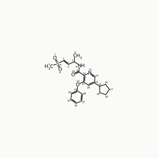 CC(C=CS(C)(=O)=O)NC(=O)c1ncc(C2CCCC2)cc1Oc1ccccc1